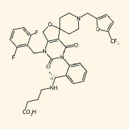 C[C@@H](NCCCC(=O)O)c1ccccc1-n1c(=O)c2c(n(Cc3c(F)cccc3F)c1=O)COC21CCN(Cc2ccc(C(F)(F)F)o2)CC1